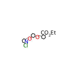 CCOC(=O)c1c(C)cccc1COc1cccc(OCc2cccc(Cl)n2)c1